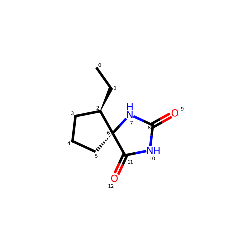 CC[C@@H]1CCC[C@@]12NC(=O)NC2=O